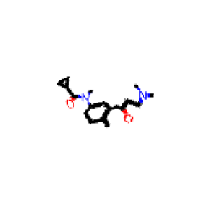 Cc1ccc(N(C)C(=O)C2CC2)cc1C(=O)C=CN(C)C